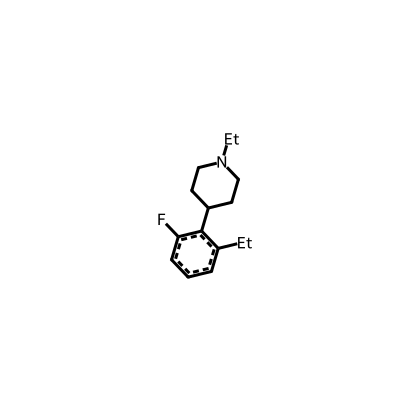 CCc1cccc(F)c1C1CCN(CC)CC1